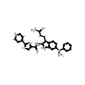 CN(c1ccccc1)c1ccc2c(CCC(N)=O)c(NC(=O)c3csc(-c4ccncc4)n3)[nH]c2c1